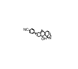 N#Cc1ccc(N2CCC([C@H](O)c3c(C4CC4)ccn4cncc34)CC2)cc1